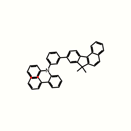 CC1(C)c2cc(-c3cccc(N(c4ccccc4)c4ccccc4-c4ccccc4)c3)ccc2-c2c1ccc1ccccc21